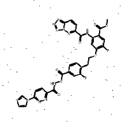 COC(=O)c1cc(F)c(OCCc2ccc(C(=O)ONC(=O)c3ccc(-n4ccnc4)nn3)cc2F)cc1NC(=O)c1ccc2nnnn2n1